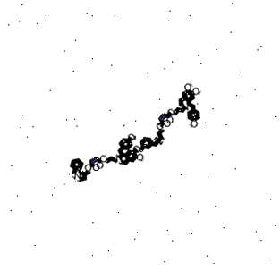 COc1ccc(CC2c3cc(OC)c(OC)cc3CC[N+]2(C)CCCOC(=O)/C=C\C(=O)OCCC[N+](C)(C)Cc2cccc(COc3cc4c(cc3OC)CC[N+](C)(CCCOC(=O)/C=C\C(=O)OCC3CC[N+](C)(Cc5ccccc5)C3)C4Cc3ccc(OC)cc3)c2)cc1